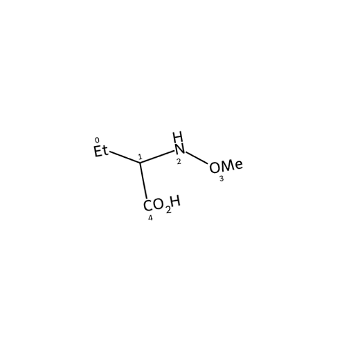 CCC(NOC)C(=O)O